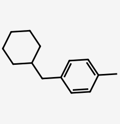 Cc1ccc(CC2CCCCC2)cc1